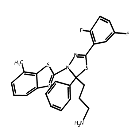 Cc1cccc2nc(N3N=C(c4cc(F)ccc4F)SC3(CCCN)c3ccccc3)sc12